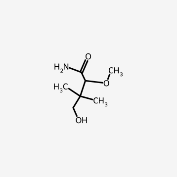 COC(C(N)=O)C(C)(C)CO